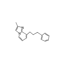 Cc1cn2cccc(CCCc3ccccc3)c2n1